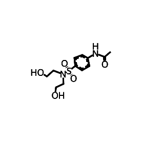 CC(=O)Nc1ccc(S(=O)(=O)N(CCO)CCO)cc1